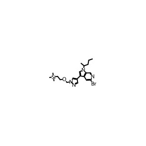 CCCC(C)n1cc(-c2cnn(COCC[Si](C)(C)C)c2)c2cc(Br)ncc21